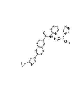 CC(C)n1cnnc1-c1cccc(NC(=O)c2ccc3cc(-n4cnc(C5CC5)c4)ccc3c2)n1